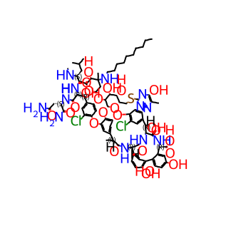 CCCCCCCCCCNC1(C)CC(OC2C(Oc3c4cc(cc3Oc3ccc([C@@H](O)[C@@H](NC(=O)[C@H](CC(C)C)NC)C(=O)N[C@@H](CC(N)=O)C(N)=O)cc3Cl)[C@@H](C)C(=O)N[C@H]3C(=O)NC(C(=O)N[C@@H](C(=O)O)c5cc(O)cc(O)c5-c5cc3ccc5O)[C@H](O)c3ccc(c(Cl)c3)O4)OC(CSc3nnc(C)c(O)n3)C(O)C2O)OC(C)C1O